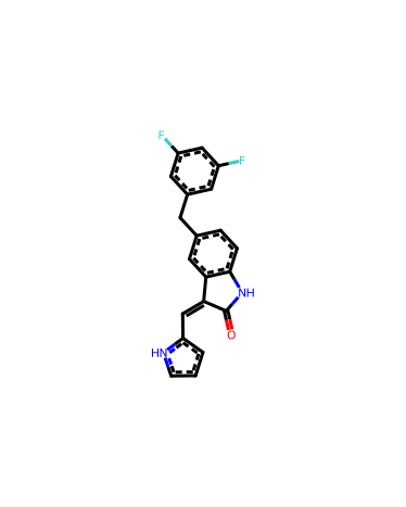 O=C1Nc2ccc(Cc3cc(F)cc(F)c3)cc2C1=Cc1ccc[nH]1